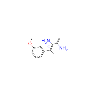 C=C(N)/C(N)=C(\C)c1cccc(OC)c1